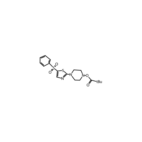 CC(C)(C)C(=O)ON1CCN(c2ncc(S(=O)(=O)c3ccccc3)s2)CC1